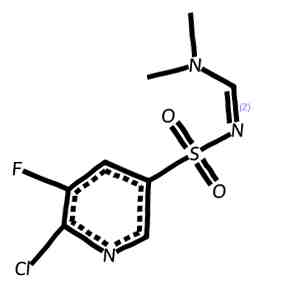 CN(C)/C=N\S(=O)(=O)c1cnc(Cl)c(F)c1